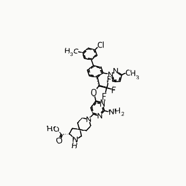 Cc1cc(Cl)cc(-c2ccc(C(Oc3cc(N4CCC5(CC4)CN[C@H](C(=O)O)C5)nc(N)n3)C(F)(F)F)c(-n3ccc(C)n3)c2)c1